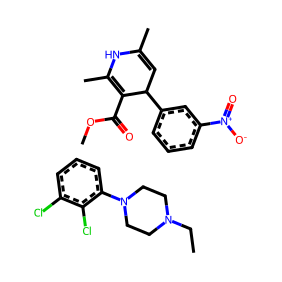 CCN1CCN(c2cccc(Cl)c2Cl)CC1.COC(=O)C1=C(C)NC(C)=CC1c1cccc([N+](=O)[O-])c1